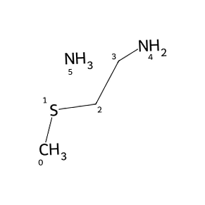 CSCCN.N